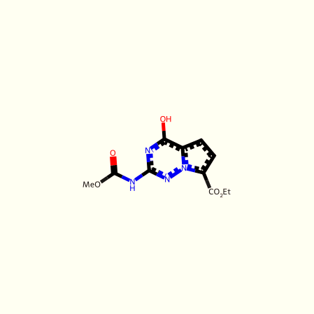 CCOC(=O)c1ccc2c(O)nc(NC(=O)OC)nn12